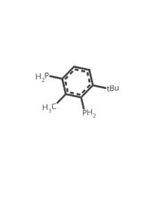 Cc1c(P)ccc(C(C)(C)C)c1P